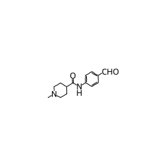 CN1CCC(C(=O)Nc2ccc(C=O)cc2)CC1